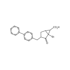 CCC12C(=O)C(Cc3ccc(-c4ccccc4)cc3)CC1C2C(=O)O